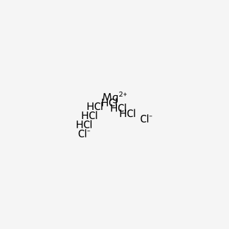 Cl.Cl.Cl.Cl.Cl.Cl.[Cl-].[Cl-].[Mg+2]